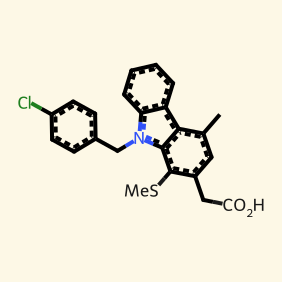 CSc1c(CC(=O)O)cc(C)c2c3ccccc3n(Cc3ccc(Cl)cc3)c12